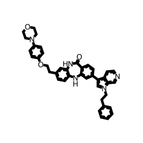 O=C1Nc2cc(CCOc3ccc(N4CCOCC4)cc3)ccc2Nc2cc(-c3cn(CCc4ccccc4)c4cnccc34)ccc21